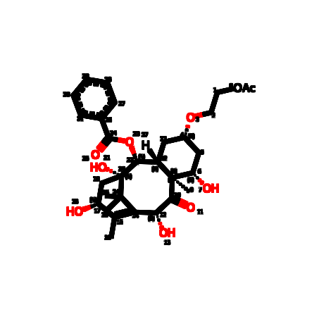 CC(=O)OCCO[C@@H]1C[C@H](O)[C@@]2(C)C(=O)[C@H](O)C3=C(C)[C@@H](O)C[C@@](O)([C@@H](OC(=O)c4ccccc4)[C@@H]2C1)C3(C)C